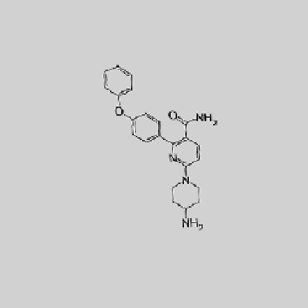 NC(=O)c1ccc(N2CCC(N)CC2)nc1-c1ccc(Oc2ccccc2)cc1